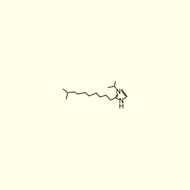 CC(C)CCCCCCCCc1[nH]cc[n+]1C(C)C